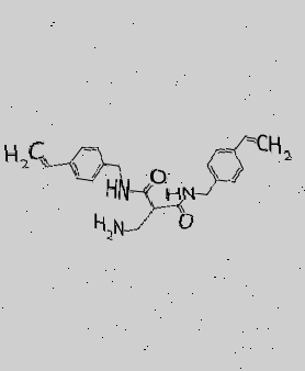 C=Cc1ccc(CNC(=O)C(CN)C(=O)NCc2ccc(C=C)cc2)cc1